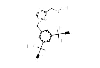 CNCc1ncn(Cc2cc(C(C)(C)C#N)cc(C(C)(C)C#N)c2)n1